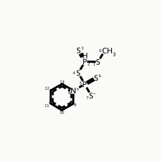 CS[PH](=S)SP(=S)([S-])[n+]1ccccc1